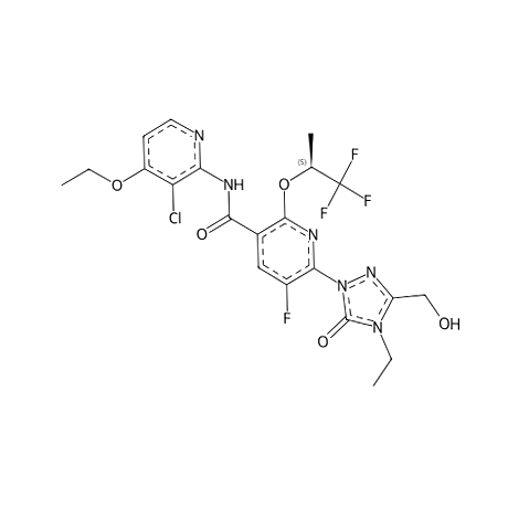 CCOc1ccnc(NC(=O)c2cc(F)c(-n3nc(CO)n(CC)c3=O)nc2O[C@@H](C)C(F)(F)F)c1Cl